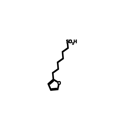 O=S(=O)(O)CCCCCCc1ccco1